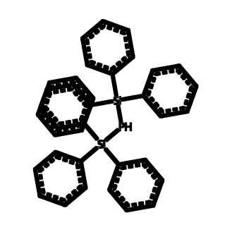 c1ccc([Si](P[Si](c2ccccc2)(c2ccccc2)c2ccccc2)(c2ccccc2)c2ccccc2)cc1